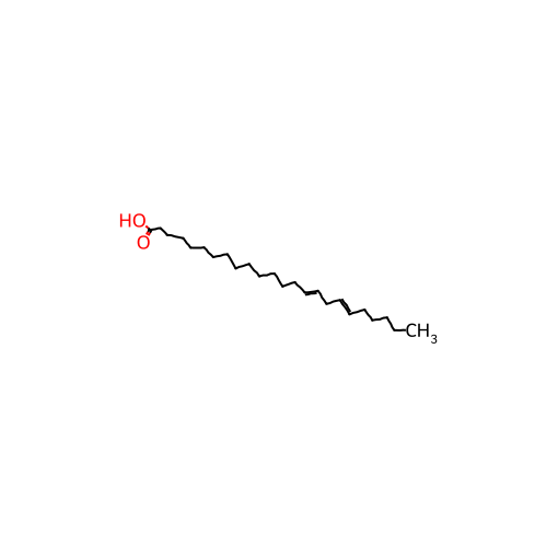 CCCCCC=CCC=CCCCCCCCCCCCCCC(=O)O